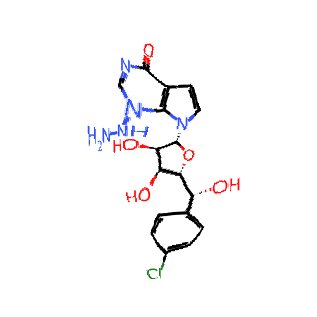 NNn1cnc(=O)c2ccn([C@@H]3O[C@H]([C@H](O)c4ccc(Cl)cc4)[C@@H](O)[C@H]3O)c21